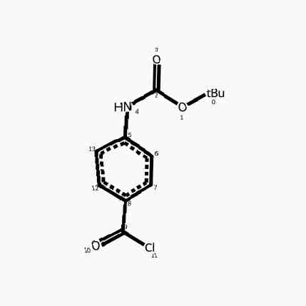 CC(C)(C)OC(=O)Nc1ccc(C(=O)Cl)cc1